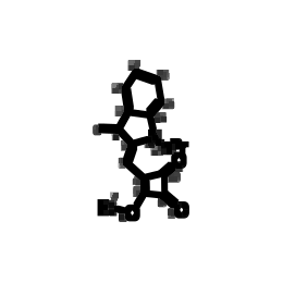 C=c1c(=Cc2c(OCC)c(=O)c2=O)n(CCC)c2ccccc12